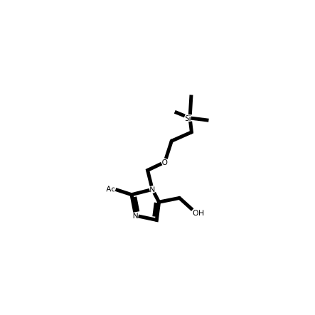 CC(=O)c1ncc(CO)n1COCC[Si](C)(C)C